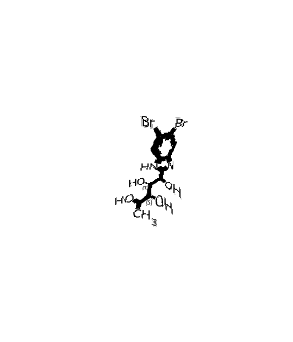 CC(O)[C@H](O)[C@H](O)C(O)c1nc2cc(Br)c(Br)cc2[nH]1